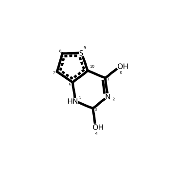 OC1=NC(O)Nc2ccsc21